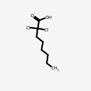 CCCCCCC(Cl)(Cl)C(=O)O